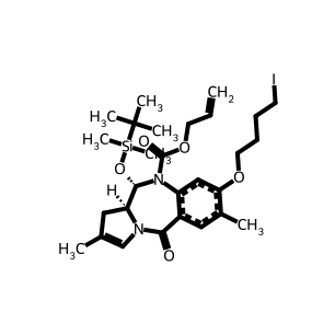 C=CCOC(=O)N1c2cc(OCCCCI)c(C)cc2C(=O)N2C=C(C)C[C@H]2[C@@H]1O[Si](C)(C)C(C)(C)C